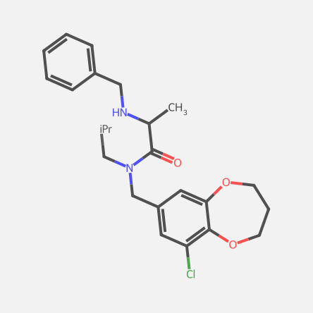 CC(C)CN(Cc1cc(Cl)c2c(c1)OCCCO2)C(=O)C(C)NCc1ccccc1